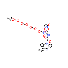 COCCOCCOCCOCCOCCOCCOCCNC(=O)[C@H](CC(=O)ON1C(=O)CCC1=O)NC(=O)CCC(=O)N1Cc2ccccc2C(C)/C=C\c2ccccc21